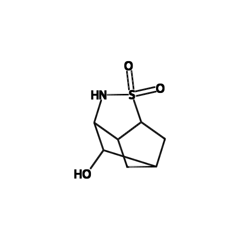 O=S1(=O)NC2C(O)C3CC2C1C3